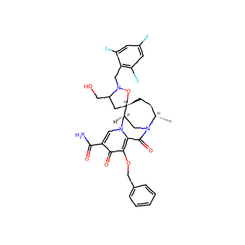 C[C@H]1CC[C@]2(CC(CO)N(Cc3c(F)cc(F)cc3F)O2)[C@H]2CN1C(=O)c1c(OCc3ccccc3)c(=O)c(C(N)=O)cn12